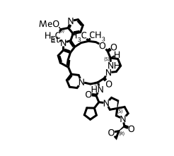 CCn1c(-c2cccnc2[C@H](C)OC)c2c3cc(ccc31)C1=CCCN(C1)C[C@H](NC(=O)C(C1CCCC1)N1CC[C@]3(CCN(C(=O)[C@H]4CO4)C3)C1)C(=O)N1CCC[C@H](N1)C(=O)OCC(C)(C)C2